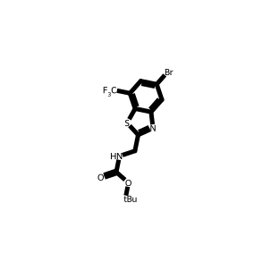 CC(C)(C)OC(=O)NCc1nc2cc(Br)cc(C(F)(F)F)c2s1